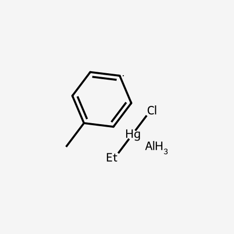 C[CH2][Hg][Cl].Cc1cc[c]cc1.[AlH3]